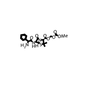 COC(=O)OCOC(=O)[C@@H]1N2C(=O)[C@@H](NC(=O)C(N)c3ccccc3)[C@H]2SC1(C)C